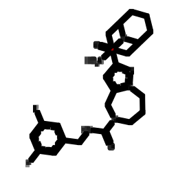 O=C(O)C1CC2CCCC(C1)N2C(=O)c1cc2n(n1)CCCN(C(=O)NCc1cc(F)cc(F)c1)C2